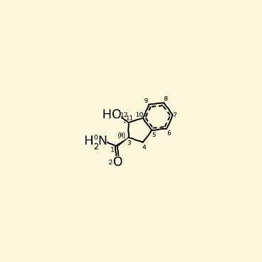 NC(=O)[C@@H]1Cc2ccccc2[C]1O